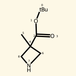 CC(C)(C)OC(=O)C1(C)CNC1